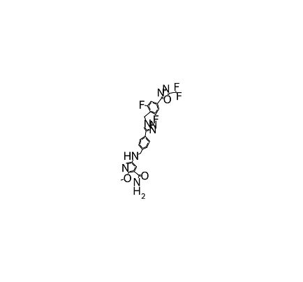 COc1ncc(NCc2ccc(-c3cn(Cc4c(F)cc(-c5nnc(C(F)F)o5)cc4F)nn3)cc2)cc1C(N)=O